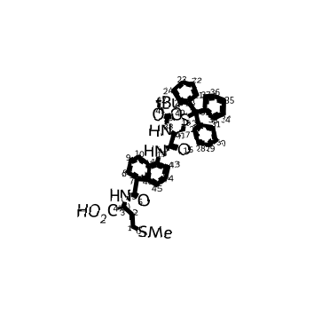 CSCC[C@H](NC(=O)c1cccc2c(NC(=O)[C@H](CSC(c3ccccc3)(c3ccccc3)c3ccccc3)NC(=O)OC(C)(C)C)cccc12)C(=O)O